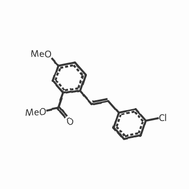 COC(=O)c1cc(OC)ccc1C=Cc1cccc(Cl)c1